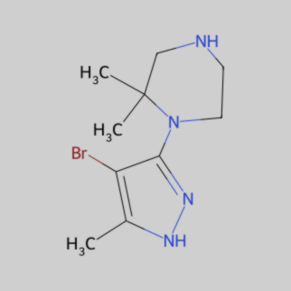 Cc1[nH]nc(N2CCNCC2(C)C)c1Br